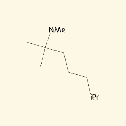 CNC(C)(C)CCCC(C)C